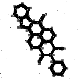 O=C1c2ccc3c(=O)n4c5nccnc5nc4c4ccc(c2c34)C(=O)N1c1ccccc1